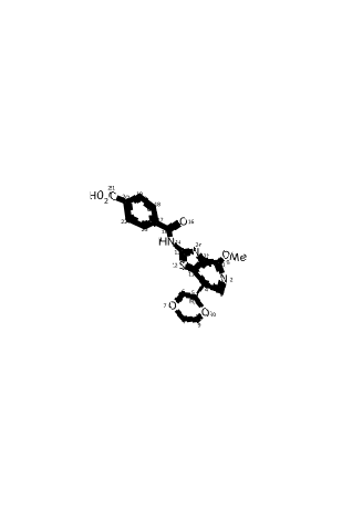 COc1ncc([C@@H]2COCCO2)c2sc(NC(=O)c3ccc(C(=O)O)cc3)nc12